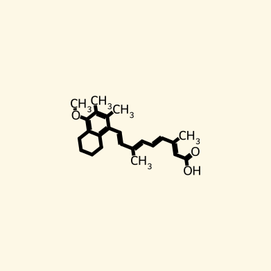 COc1c(C)c(C)c(C=CC(C)=CC=CC(C)=CC(=O)O)c2c1CCCC2